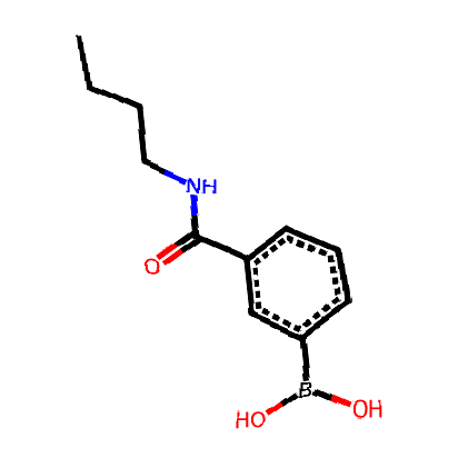 CCCCNC(=O)c1cccc(B(O)O)c1